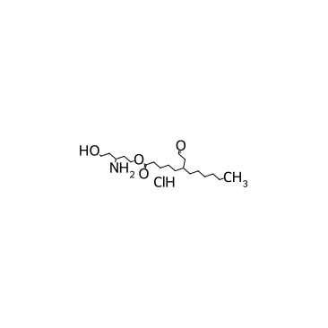 CCCCCCC(CC=O)CCCCC(=O)OCCC(N)CCO.Cl